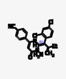 C=C(CC)/C(=C1/NC(c2ccc(C#N)cc2)=CC(=O)N1N)c1ccc(Cl)cc1Cl